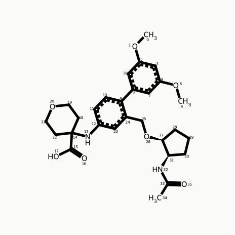 COc1cc(OC)cc(-c2ccc(NC3(C(=O)O)CCOCC3)cc2CO[C@H]2CCC[C@H]2NC(C)=O)c1